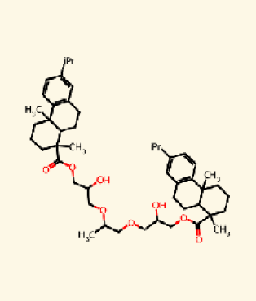 CC(COCC(O)COC(=O)C1(C)CCCC2(C)c3ccc(C(C)C)cc3CCC12)OCC(O)COC(=O)C1(C)CCCC2(C)c3ccc(C(C)C)cc3CCC12